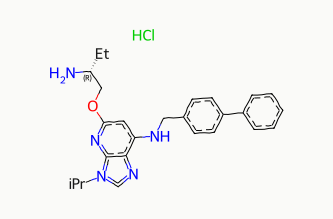 CC[C@@H](N)COc1cc(NCc2ccc(-c3ccccc3)cc2)c2ncn(C(C)C)c2n1.Cl